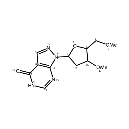 COCC1OC(n2ncc3c(=O)[nH]cnc32)CC1OC